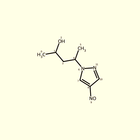 CC(O)CC(C)n1cc(N=O)cn1